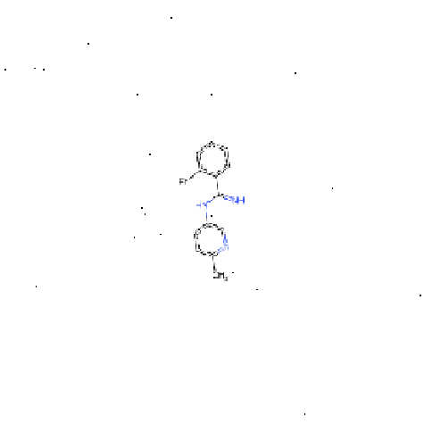 CCc1ccccc1C(=N)Nc1ccc(C)nc1